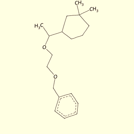 CC(OCCOCc1ccccc1)C1CCCC(C)(C)C1